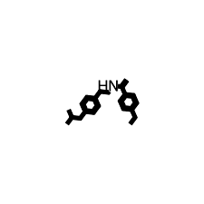 C=C(NCCc1ccc(CC(C)C)cc1)c1ccc(CC)cc1